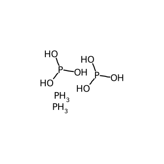 OP(O)O.OP(O)O.P.P